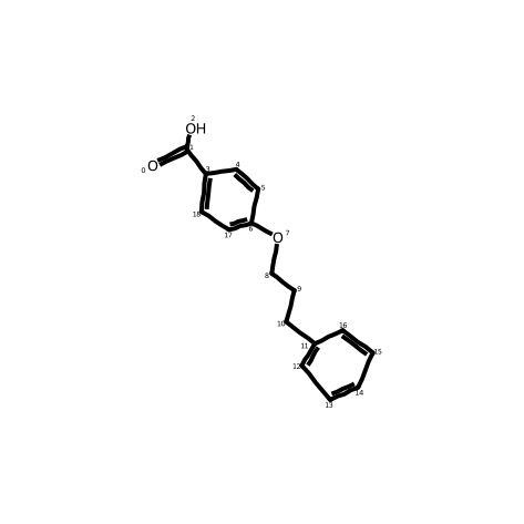 O=C(O)c1ccc(OCCCc2ccccc2)cc1